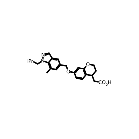 Cc1cc(COc2ccc3c(c2)OCCC3CC(=O)O)cc2cnn(CC(C)C)c12